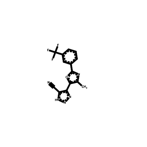 Cc1nc(-c2cccc(C(F)(F)F)c2)oc1-c1nn[nH]c1C#N